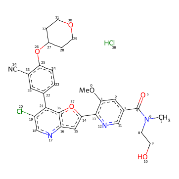 COc1cc(C(=O)N(C)CCO)cnc1-c1cc2ncc(Cl)c(-c3ccc(OC4CCOCC4)c(C#N)c3)c2o1.Cl